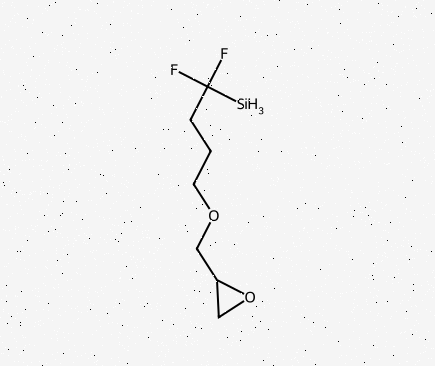 FC(F)([SiH3])CCCOCC1CO1